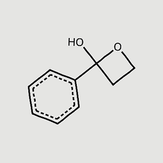 OC1(c2ccccc2)CCO1